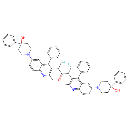 Cc1nc2ccc(N3CCC(O)(c4ccccc4)CC3)cc2c(-c2ccccc2)c1C(CF)C(=O)C(CF)c1c(C)nc2ccc(N3CCC(O)(c4ccccc4)CC3)cc2c1-c1ccccc1